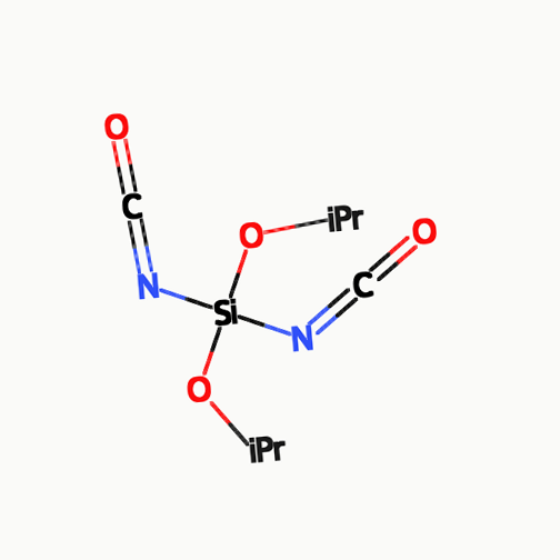 CC(C)O[Si](N=C=O)(N=C=O)OC(C)C